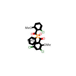 COc1cccc(Cl)c1C(=O)P(=O)(C(=O)c1c(OC)c(Cl)cc(Cl)c1OC)c1ccccc1